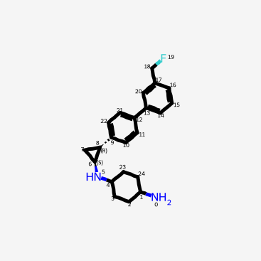 NC1CCC(N[C@H]2C[C@@H]2c2ccc(-c3cccc(CF)c3)cc2)CC1